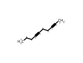 [CH2]C#CCCC#CCCC